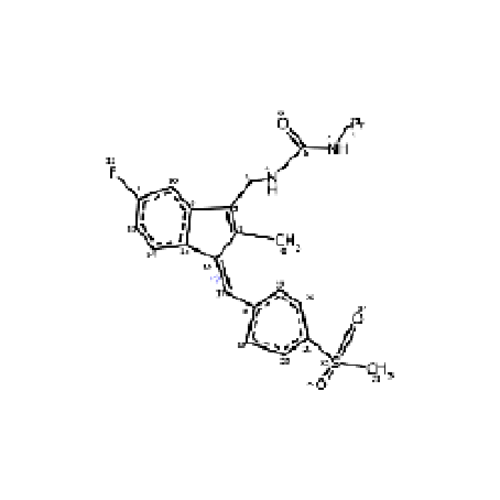 CC1=C(CNC(=O)NC(C)C)c2cc(F)ccc2/C1=C/c1ccc(S(C)(=O)=O)cc1